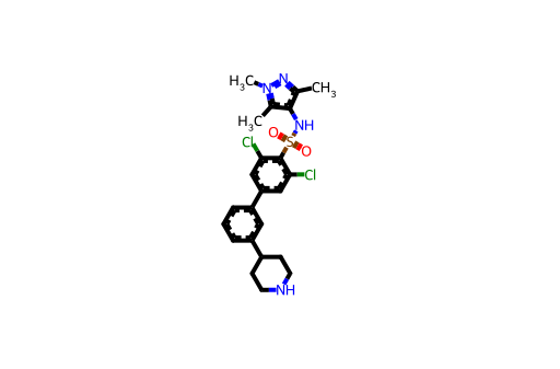 Cc1nn(C)c(C)c1NS(=O)(=O)c1c(Cl)cc(-c2cccc(C3CCNCC3)c2)cc1Cl